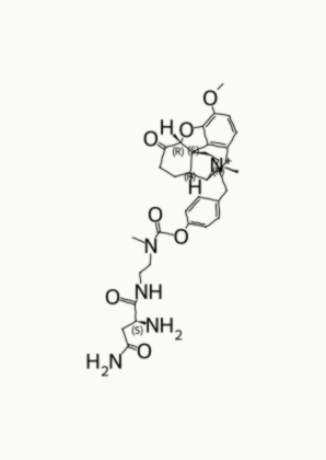 COc1ccc2c3c1O[C@H]1C(=O)CC[C@H]4C(C2)[N@@+](C)(Cc2ccc(OC(=O)N(C)CCNC(=O)[C@@H](N)CC(N)=O)cc2)CC[C@]314